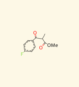 COC(=O)C(C)C(=O)c1ccc(F)cc1